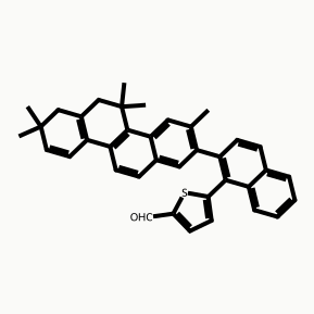 Cc1cc2c3c(ccc2cc1-c1ccc2ccccc2c1-c1ccc(C=O)s1)C1=C(CC(C)(C)C=C1)CC3(C)C